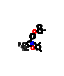 Cc1ccc(Cn2c(-c3ccc(Oc4ccc(C)c5c4CCC5)cc3)cc(C(F)(F)F)c(C#N)c2=O)c(C)c1